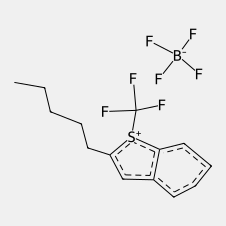 CCCCCc1cc2ccccc2[s+]1C(F)(F)F.F[B-](F)(F)F